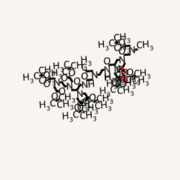 CCN(CCN(CC(=O)OC(C)(C)C)CC(C(=O)NCCN(CCNC(=O)C(CN(CCN(CC(=O)OC(C)(C)C)CC(=O)OC(C)(C)C)CC(=O)OC(C)(C)C)N(CC(=O)OC(C)(C)C)CC(=O)OC(C)(C)C)CC(C)=O)N(CC(=O)OC(C)(C)C)CC(=O)OC(C)(C)C)CC(=O)OC(C)(C)C